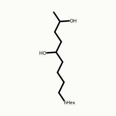 CCCCCCCCCCC(O)CCC(C)O